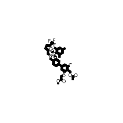 COC(=O)CSc1cc(-c2ccc(CN(Cc3ccc(C(F)(F)F)o3)S(=O)(=O)c3c(C)cc(C)cc3C)cc2)cc(F)c1COC(C)=O